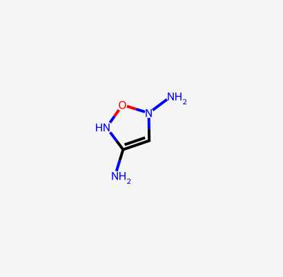 NC1=CN(N)ON1